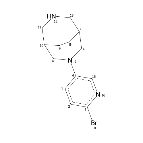 Brc1ccc(N2CC3CCC(CNC3)C2)cn1